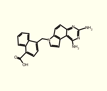 Nc1nc(N)c2c(ccc3c2ccn3Cc2ccc(C(=O)O)c3ccccc23)n1